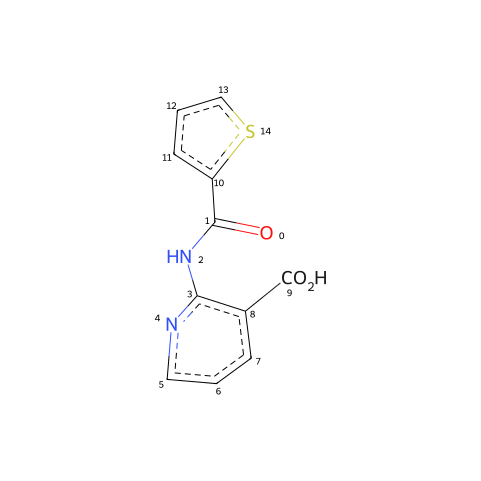 O=C(Nc1ncccc1C(=O)O)c1cccs1